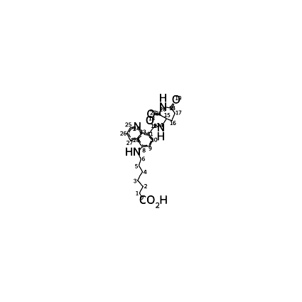 O=C(O)CCCCCCNc1ccc(C(=O)NC2CCC(=O)NC2=O)c2ncccc12